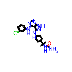 CC(C)(NC(N)=O)c1ccc(Nc2n[nH]c3ncnc(Nc4cccc(Cl)c4)c23)cc1